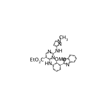 CCOC(=O)c1cnc(Nc2ccn(C)n2)nc1Nc1cccc(-c2nc3ccccc3o2)c1OC